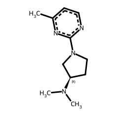 Cc1ccnc(N2CC[C@@H](N(C)C)C2)n1